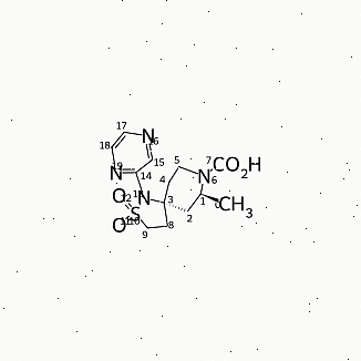 C[C@H]1C[C@]2(CCN1C(=O)O)CCS(=O)(=O)N2c1cnccn1